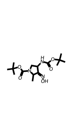 CC1C(=NO)C(NC(=O)OC(C)(C)C)CN1C(=O)OC(C)(C)C